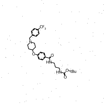 CC(C)(C)OC(=O)NCCCNC(=O)c1ccc(OC2CCN(Cc3ccc(C(F)(F)F)cc3)CC2)cc1